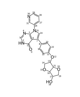 O=c1[nH]cnc2c1c(-c1ccc(OC3COC4C(O)COC34)cc1)cn2-c1cccnc1